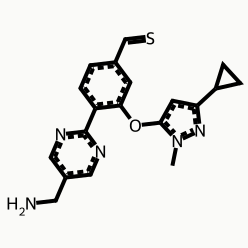 Cn1nc(C2CC2)cc1Oc1cc(C=S)ccc1-c1ncc(CN)cn1